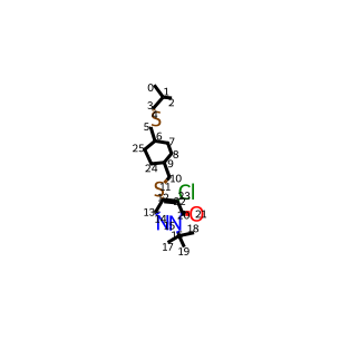 CC(C)CSCC1CCC(CSc2cnn(C(C)(C)C)c(=O)c2Cl)CC1